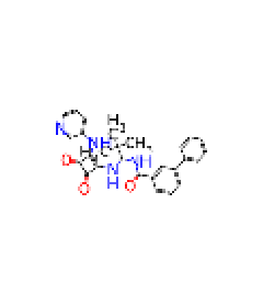 CC(C)(C)C(NC(=O)c1cccc(-c2ccccc2)c1)Nc1c(Nc2cccnc2)c(=O)c1=O